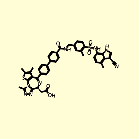 Cc1cc(CNC(=O)c2ccc(-c3ccc(C4=N[C@@H](CC(=O)O)c5nnc(C)n5-c5sc(C)c(C)c54)cc3)cc2)ccc1S(=O)(=O)Nc1ccc(C)c2c(C#N)c[nH]c12